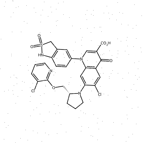 O=C(O)c1cn(-c2ccc3c(c2)CS(=O)(=O)N3)c2cc(N3CCC[C@@H]3COc3ncccc3Cl)c(Cl)cc2c1=O